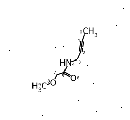 CC#CCNC(=O)COC